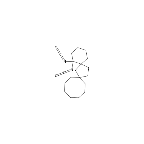 O=C=NC1(N=C=O)CCCCC12CCC1(CCCCCCC1)C2